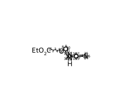 CCOC(=O)CCCCCOc1ccccc1Cc1nc(-c2ccc(C#C[Si](C)(C)C)cc2)[nH]c1C